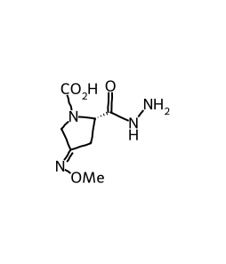 CO/N=C1\C[C@@H](C(=O)NN)N(C(=O)O)C1